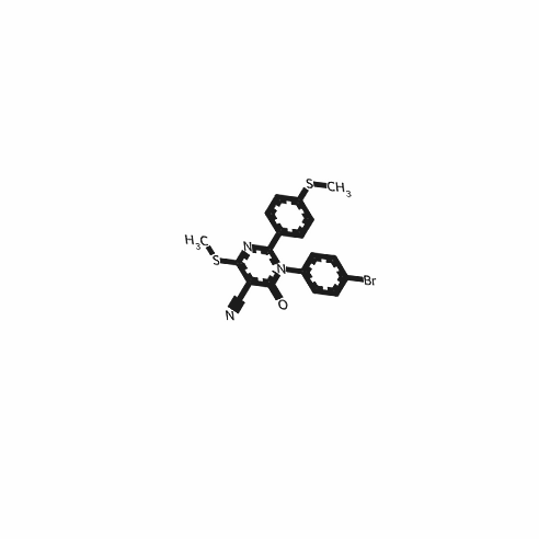 CSc1ccc(-c2nc(SC)c(C#N)c(=O)n2-c2ccc(Br)cc2)cc1